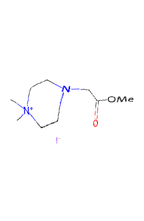 COC(=O)CN1CC[N+](C)(C)CC1.[I-]